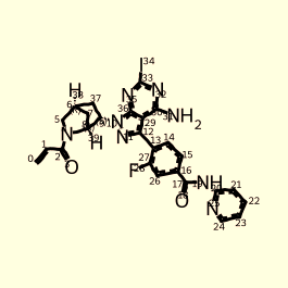 C=CC(=O)N1C[C@@H]2C[C@@H]1[C@@H](n1nc(-c3ccc(C(=O)Nc4ccccn4)cc3F)c3c(N)nc(I)nc31)C2